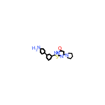 Nc1ccc(-c2cccc(-c3nn4c(=O)cc(N5CCCCC5)nc4s3)c2)cc1